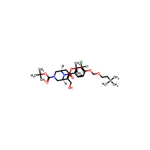 CC(C)(C)OC(=O)N1C[C@H]2CC(c3ccc(OCOCC[Si](C)(C)C)cc3)=C(CO)[C@@H](C1)N2C(=O)OC(C)(C)C(Cl)(Cl)Cl